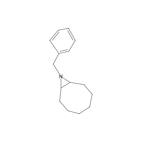 c1ccc(CN2C3CCCCCCC32)cc1